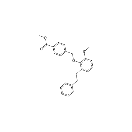 COC(=O)c1ccc(COc2c(CCc3ccccc3)cccc2SC)cc1